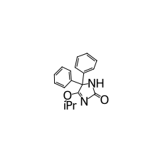 CC(C)OC1=NC(=O)NC1(c1ccccc1)c1ccccc1